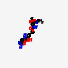 BN(C)Cc1cc(NC(=O)OC[C@H](CC)c2ccc(C(Nc3ccc4nc[nH]c(=O)c4c3)C(=O)O)cc2)ccc1S(=O)(=O)C1CC1